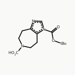 CC(C)(C)OC(=O)n1cnc2c1CCN(C(=O)O)CC2